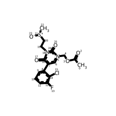 CC(=O)OCn1cc(-c2cccc(F)c2Cl)c(=O)n(CC[S+](C)[O-])c1=O